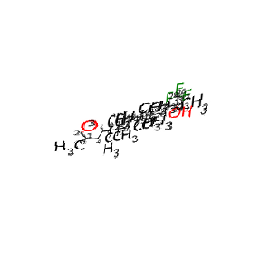 CC(C=O)CCC(C)(C)C(C)(C)CCC(C)(C)C(C)(C)CCC(C)(O)C(F)(F)F